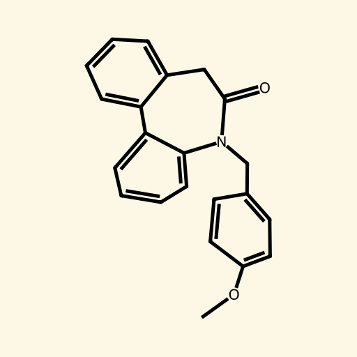 COc1ccc(CN2C(=O)Cc3ccccc3-c3ccccc32)cc1